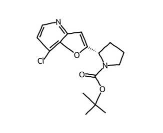 CC(C)(C)OC(=O)N1CCC[C@H]1c1cc2nccc(Cl)c2o1